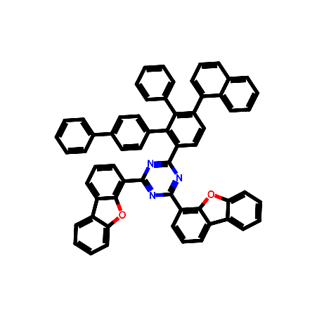 c1ccc(-c2ccc(-c3c(-c4nc(-c5cccc6c5oc5ccccc56)nc(-c5cccc6c5oc5ccccc56)n4)ccc(-c4cccc5ccccc45)c3-c3ccccc3)cc2)cc1